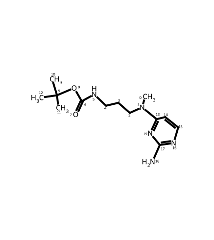 CN(CCCNC(=O)OC(C)(C)C)c1ccnc(N)n1